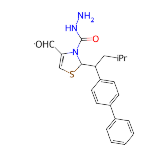 CC(C)CC(c1ccc(-c2ccccc2)cc1)C1SC=C([C]=O)N1C(=O)NN